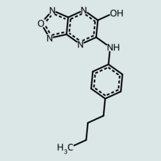 CCCCc1ccc(Nc2nc3nonc3nc2O)cc1